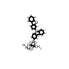 CC1(C)OB(c2ccc3c(c2)c2ccccc2n3-c2ccc3c(c2)oc2ccccc23)OC1(C)C